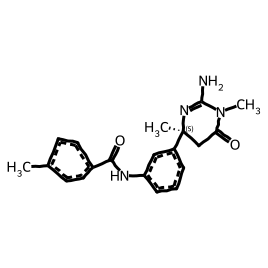 Cc1ccc(C(=O)Nc2cccc([C@]3(C)CC(=O)N(C)C(N)=N3)c2)cc1